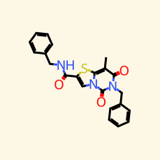 Cc1c(=O)n(Cc2ccccc2)c(=O)n2cc(C(=O)NCc3ccccc3)sc12